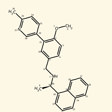 COc1ccc(CN[C@H](C)c2cccc3ccccc23)cc1-c1ccc(C)nc1